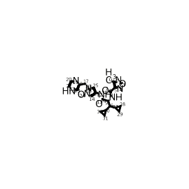 Cc1nonc1C(=O)N[C@H](C(=O)Nc1cnn(Cc2ncc[nH]c2=O)c1)C(C1CC1)C1CC1